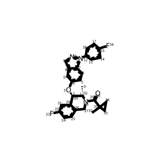 C[C@H]1[C@H](Oc2ccc3c(cnn3-c3ccc(F)cc3)c2)c2cc(F)ccc2CN1C(=O)C1(C)CC1